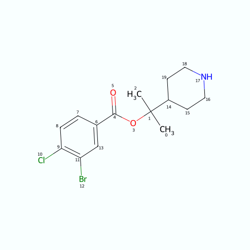 CC(C)(OC(=O)c1ccc(Cl)c(Br)c1)C1CCNCC1